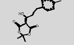 CC1(C)OC(=O)C(=C(O)CCc2ccc(F)cc2)C(=O)O1